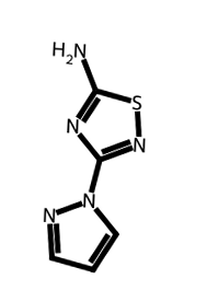 Nc1nc(-n2cccn2)ns1